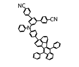 N#Cc1ccc(-c2cc(-c3ccc(C#N)cc3)cc(N(c3ccccc3)c3ccc(-c4ccc5c6c(cccc46)-c4c-5c(-c5ccccc5)c5ccccc5c4-c4ccccc4)cc3)c2)cc1